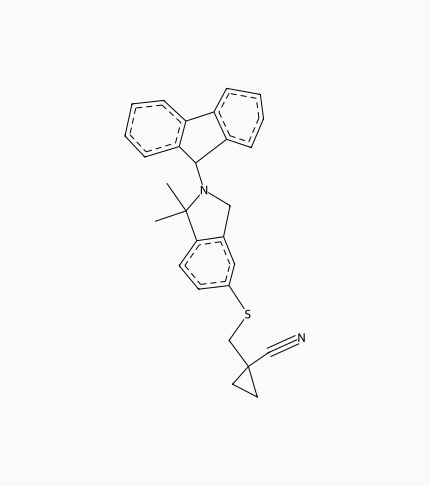 CC1(C)c2ccc(SCC3(C#N)CC3)cc2CN1C1c2ccccc2-c2ccccc21